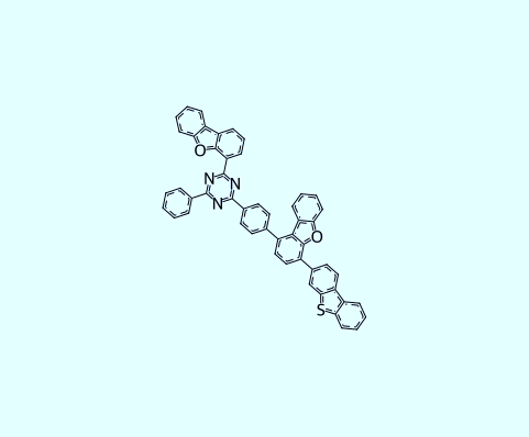 c1ccc(-c2nc(-c3ccc(-c4ccc(-c5ccc6c(c5)sc5ccccc56)c5oc6ccccc6c45)cc3)nc(-c3cccc4c3oc3ccccc34)n2)cc1